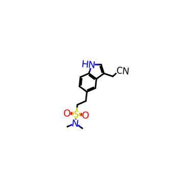 CN(C)S(=O)(=O)CCc1ccc2[nH]cc(CC#N)c2c1